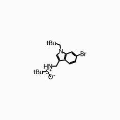 CC(C)(C)Cn1cc(CN[S+]([O-])C(C)(C)C)c2ccc(Br)cc21